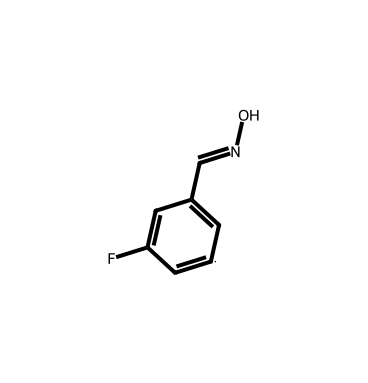 ON=Cc1c[c]cc(F)c1